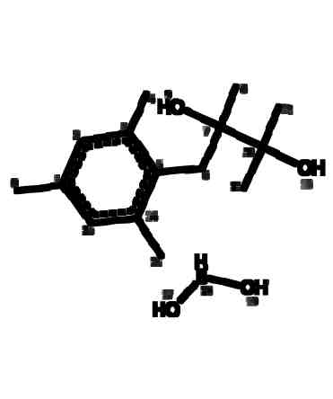 Cc1cc(C)c(CC(C)(O)C(C)(C)O)c(C)c1.OBO